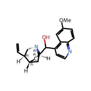 C=C[C@H]1C[N@]2CC[C@H]1C[C@@H]2C(O)c1ccnc2ccc(OC)cc12